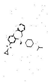 CC(C)O[C@H]1CC[C@H](C(=O)N2Cc3cccnc3Nc3ccc(S(=O)(=O)C4CC4)cc32)CC1